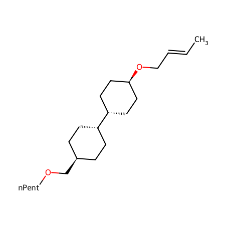 CC=CCO[C@H]1CC[C@H]([C@H]2CC[C@H](COCCCCC)CC2)CC1